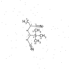 CC(C#N)CC(CC#N)S(C)(C)C